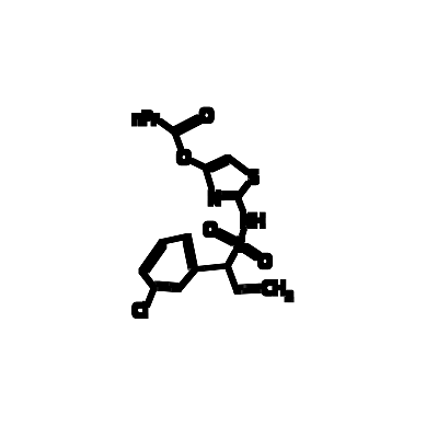 C=CC(c1cccc(Cl)c1)S(=O)(=O)Nc1nc(OC(=O)CCC)cs1